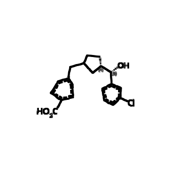 O=C(O)c1ccc(CC2CC[C@H]([C@H](O)c3cccc(Cl)c3)C2)cc1